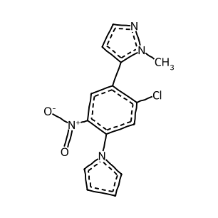 Cn1nccc1-c1cc([N+](=O)[O-])c(-n2cccc2)cc1Cl